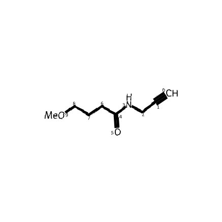 C#CCNC(=O)CCCOC